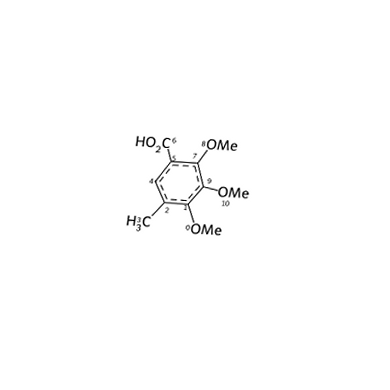 COc1c(C)cc(C(=O)O)c(OC)c1OC